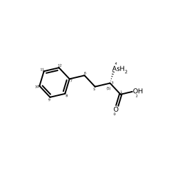 O=C(O)[C@@H]([AsH2])CCc1ccccc1